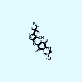 CCN(C)/C=N\c1cc(C)c(Oc2snc(C(C)(C)CF)c2C#N)cc1C